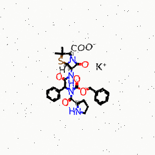 CC1(C)S[C@@H]2[C@H](NC(=O)C(c3ccccc3)N(C(=O)OCc3ccccc3)C(=O)[C@H]3CCCN3)C(=O)N2[C@H]1C(=O)[O-].[K+]